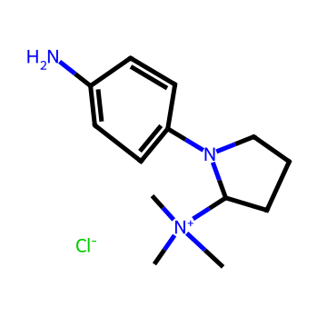 C[N+](C)(C)C1CCCN1c1ccc(N)cc1.[Cl-]